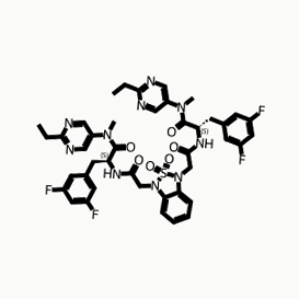 CCc1ncc(N(C)C(=O)[C@H](Cc2cc(F)cc(F)c2)NC(=O)CN2c3ccccc3N(CC(=O)N[C@@H](Cc3cc(F)cc(F)c3)C(=O)N(C)c3cnc(CC)nc3)S2(=O)=O)cn1